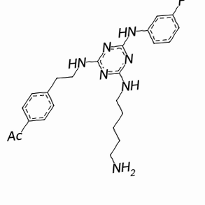 CC(=O)c1ccc(CCNc2nc(NCCCCCN)nc(Nc3cccc(F)c3)n2)cc1